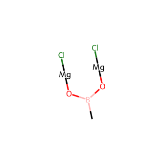 CB([O][Mg][Cl])[O][Mg][Cl]